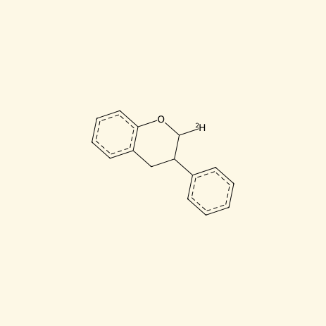 [2H]C1Oc2ccccc2CC1c1ccccc1